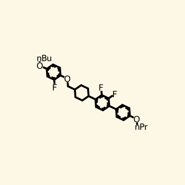 CCCCOc1ccc(OCC2CCC(c3ccc(-c4ccc(OCCC)cc4)c(F)c3F)CC2)c(F)c1